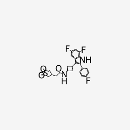 O=C(CC1CS(=O)(=O)C1)N[C@H]1C[C@H](c2c(-c3ccc(F)cc3)[nH]c3c(F)cc(F)cc32)C1